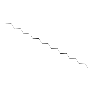 [CH2]CCCCOCCCCCCCCCCCCC